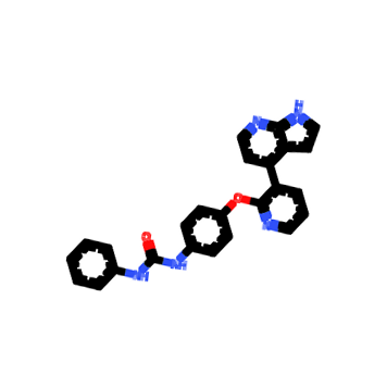 O=C(Nc1ccccc1)Nc1ccc(Oc2ncccc2-c2ccnc3[nH]ccc23)cc1